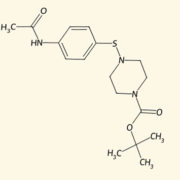 CC(=O)Nc1ccc(SN2CCN(C(=O)OC(C)(C)C)CC2)cc1